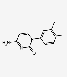 Cc1ccc(-n2ccc(N)nc2=O)cc1C